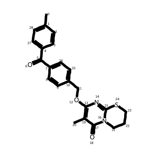 Cc1ccc(C(=O)c2ccc(COc3nc4n(c(=O)c3C)CCCS4)cc2)cc1